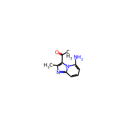 CC(=O)c1c(C)nc2cccc(N)n12